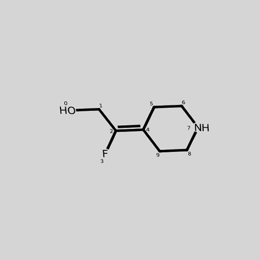 OCC(F)=C1CCNCC1